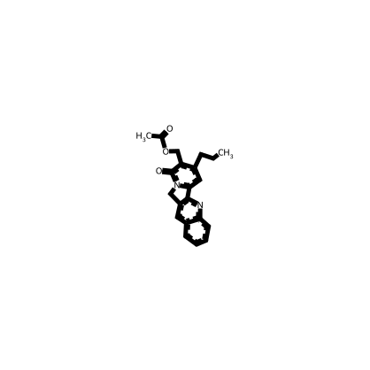 CCCc1cc2n(c(=O)c1COC(C)=O)Cc1cc3ccccc3nc1-2